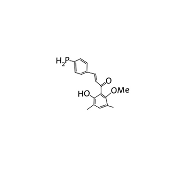 COc1c(C)cc(C)c(O)c1C(=O)/C=C/c1ccc(P)cc1